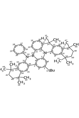 CC(C)(C)c1cc2c3c(c1)N1c4cc5c(cc4C(C)(C)c4cccc(c41)B3N(c1ccccc1)c1cc3c(cc1-2)C(C)(C)CCC3(C)C)C(C)(C)CCC5(C)C